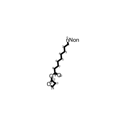 CCCCCCCCCCCCCCCCCC(=O)OC1CCO1